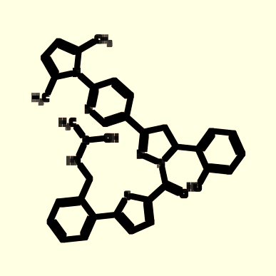 CB(O)NCc1ccccc1-c1ccc(C(=O)N2N=C(c3ccc(-n4c(C)ccc4C)nc3)CC2c2ccccc2O)s1